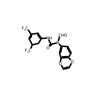 O=CN(C(=O)NC1=CC(C(F)(F)F)=CC(C(F)(F)F)C1)c1ccc2c(c1)OC=CO2